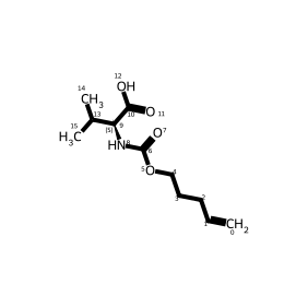 C=CCCCOC(=O)N[C@H](C(=O)O)C(C)C